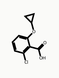 O=C(O)c1c(Cl)cccc1OC1CC1